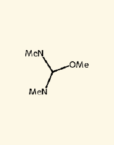 CNC(NC)OC